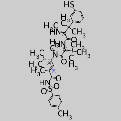 CN[C@H](C(=O)N[C@H](C(=O)N(C)[C@H](/C=C(\C)C(=O)NS(=O)(=O)c1ccc(C)cc1)C(C)C)C(C)(C)C)C(C)(C)c1cccc(S)c1